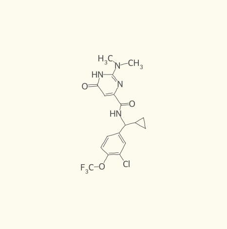 CN(C)c1nc(C(=O)NC(c2ccc(OC(F)(F)F)c(Cl)c2)C2CC2)cc(=O)[nH]1